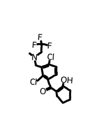 CN(Cc1c(Cl)ccc(C(=O)C2=C(O)CCCC2)c1Cl)CC(F)(F)F